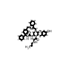 C=CCNCC(=O)N1[C@@H](NC(=O)NCc2ccccc2)CN(Cc2nn(Cc3ccccc3)c3c2CCC=C3)C(=O)[C@@H]1Cc1ccc(O)cc1